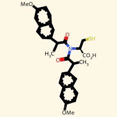 COc1ccc2cc(C(C)C(=O)N(C(=O)C(C)c3ccc4cc(OC)ccc4c3)[C@@H](CS)C(=O)O)ccc2c1